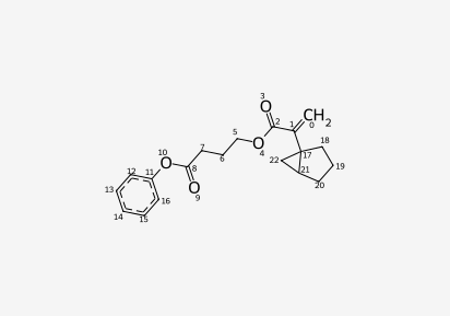 C=C(C(=O)OCCCC(=O)Oc1ccccc1)C12CCCC1C2